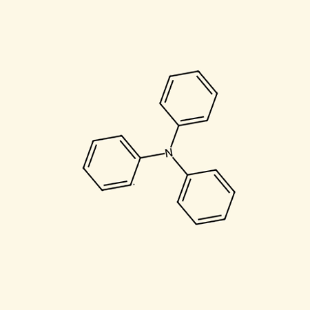 [c]1ccccc1N(c1ccccc1)c1ccccc1